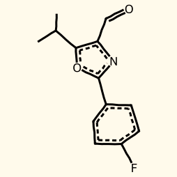 CC(C)c1oc(-c2ccc(F)cc2)nc1C=O